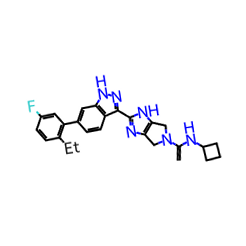 C=C(NC1CCC1)N1Cc2nc(-c3n[nH]c4cc(-c5cc(F)ccc5CC)ccc34)[nH]c2C1